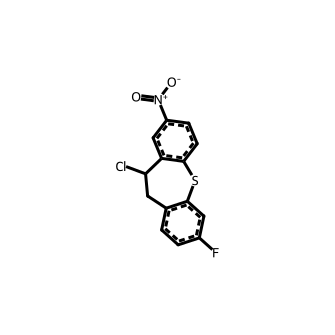 O=[N+]([O-])c1ccc2c(c1)C(Cl)Cc1ccc(F)cc1S2